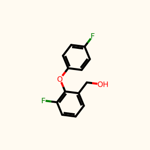 OCc1cccc(F)c1Oc1ccc(F)cc1